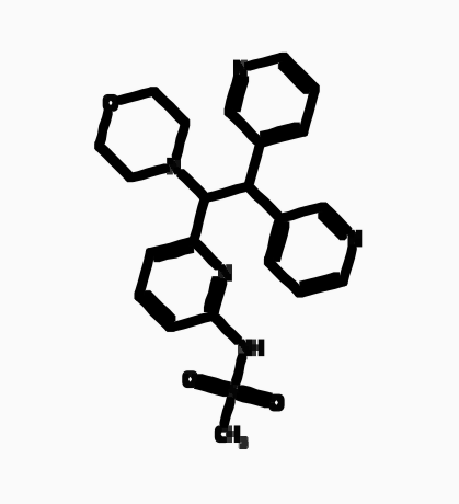 CS(=O)(=O)Nc1cccc(C(C(c2cccnc2)c2cccnc2)N2CCOCC2)n1